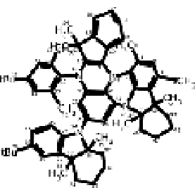 Cc1cc(C)c2c3c1B1C4=C(N(c5c(C)cc(C(C)(C)C)cc5C)c5cc(N6c7ccc(C(C)(C)C)cc7C7(C)CCCCC67C)cc(c51)N3C1(C)CCCCC21C)C(C)(C)c1ccccc14